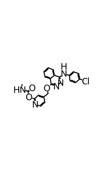 CNC(=O)Oc1cc(COc2nnc(Nc3ccc(Cl)cc3)c3ccccc23)ccn1